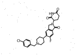 O=C1CCC(N2Cc3cc(C4CCN(Cc5ccc(Cl)cc5)CC4)c(F)cc3C2=O)C(=O)N1